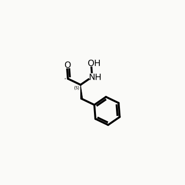 O=[C][C@H](Cc1ccccc1)NO